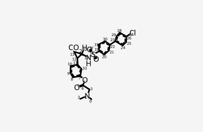 CN(C)CC(=O)Oc1cccc(C2CC2(NS(=O)(=O)c2ccc(-c3ccc(Cl)cc3)cc2)C(=O)O)c1